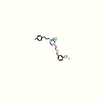 Cc1ccc(CCCN2CCN(CCOCc3cccc(C(F)(F)F)c3)CC2)cc1.Cl.Cl